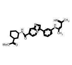 COC(=O)C1CCC[C@H](NC(=O)c2ccn3c(-c4cccc(N/C(C)=C\C(C)=N)c4)cnc3c2)C1